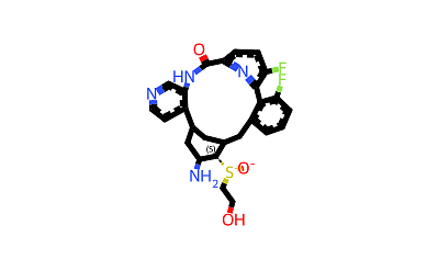 NC1CC2CC(Cc3cccc(F)c3-c3nc(ccc3F)C(=O)Nc3cnccc32)[C@@H]1[S+]([O-])CCO